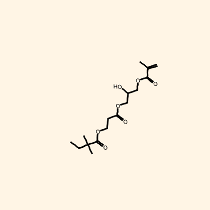 C=C(C)C(=O)OCC(O)COC(=O)CCOC(=O)C(C)(C)CC